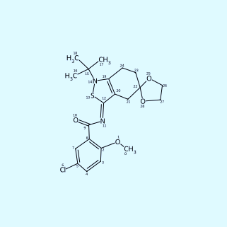 COc1ccc(Cl)cc1C(=O)N=c1sn(C(C)(C)C)c2c1CC1(CC2)OCCO1